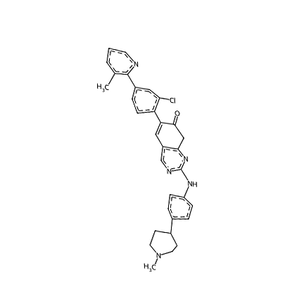 Cc1cccnc1-c1ccc(C2=Cc3cnc(Nc4ccc(C5CCN(C)CC5)cc4)nc3CC2=O)c(Cl)c1